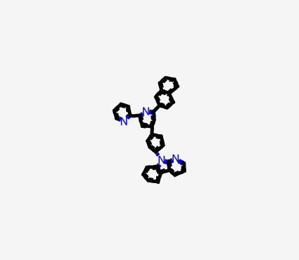 c1ccc(-c2cc(-c3ccc(-n4c5ccccc5c5cccnc54)cc3)cc(-c3ccc4ccccc4c3)n2)nc1